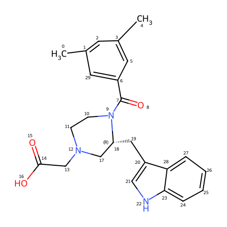 Cc1cc(C)cc(C(=O)N2CCN(CC(=O)O)C[C@H]2Cc2c[nH]c3ccccc23)c1